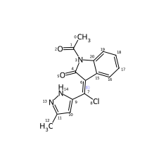 CC(=O)N1C(=O)/C(=C(/Cl)c2cc(C)n[nH]2)c2ccccc21